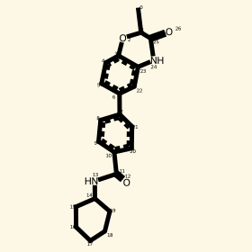 CC1Oc2ccc(-c3ccc(C(=O)NC4CCCCC4)cc3)cc2NC1=O